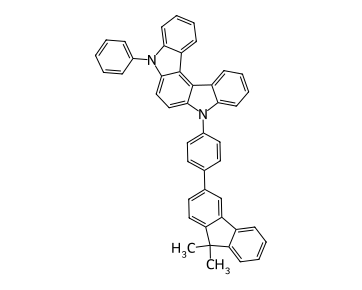 CC1(C)c2ccccc2-c2cc(-c3ccc(-n4c5ccccc5c5c6c7ccccc7n(-c7ccccc7)c6ccc54)cc3)ccc21